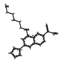 COC(=O)c1ccc2nc(-n3ccnc3)nc(NCCOCCO)c2c1